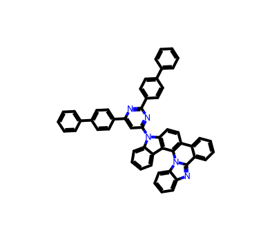 c1ccc(-c2ccc(-c3cc(-n4c5ccccc5c5c4ccc4c6ccccc6c6nc7ccccc7n6c45)nc(-c4ccc(-c5ccccc5)cc4)n3)cc2)cc1